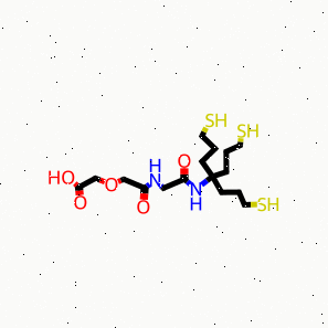 O=C(O)COCC(=O)NCC(=O)NC(CCCS)(CCCS)CCCS